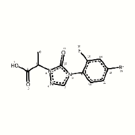 CC(C(=O)O)n1ncn(-c2ccc(Br)cc2F)c1=O